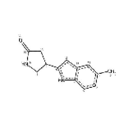 Cc1ccc2[nH]c(C3CNC(=O)C3)cc2c1